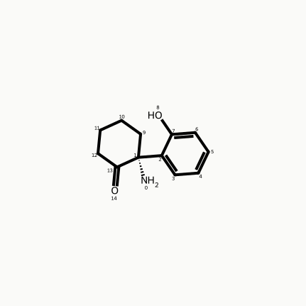 N[C@@]1(c2ccccc2O)CCCCC1=O